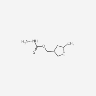 CC1CC(COC(=S)NN)CO1